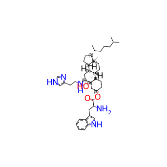 CC(C)CCCC(C)[C@H]1CC[C@H]2[C@@H]3C[C@@H](NCCc4c[nH]cn4)[C@@]4(O)C[C@@H](OC(=O)C(N)Cc5c[nH]c6ccccc56)CC[C@]4(C)[C@H]3CC[C@]12C